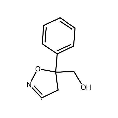 OCC1(c2ccccc2)C[C]=NO1